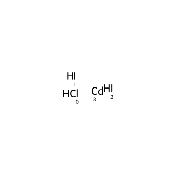 Cl.I.I.[Cd]